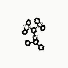 c1ccc(-c2cc(-c3ccccc3)c3nc(-c4cc(N5c6ccccc6Oc6ccccc65)cc(N5c6ccccc6Oc6ccccc65)c4)oc3c2)cc1